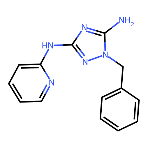 Nc1nc(Nc2ccccn2)nn1Cc1ccccc1